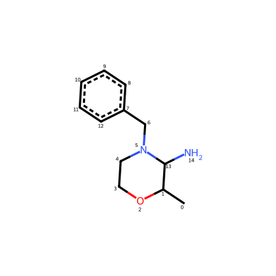 CC1OCCN(Cc2ccccc2)C1N